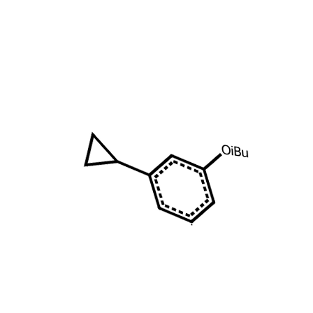 CC(C)COc1c[c]cc(C2CC2)c1